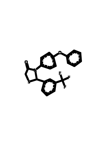 O=C1CSC(c2cccc(C(F)(F)F)c2)N1c1ccc(Oc2ccccc2)cc1